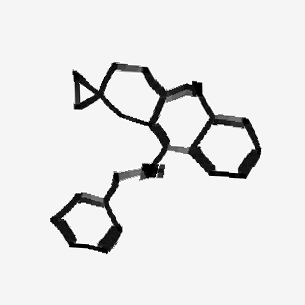 c1ccc(CNc2c3c(nc4ccccc24)CCC2(CC2)C3)cc1